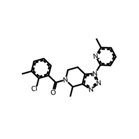 Cc1cccc(-n2nnc3c2CCN(C(=O)c2cccc(C)c2Cl)C3C)n1